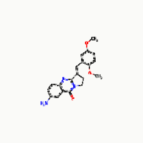 COc1ccc(OC)c(/C=C2\CCn3c2nc2ccc(N)cc2c3=O)c1